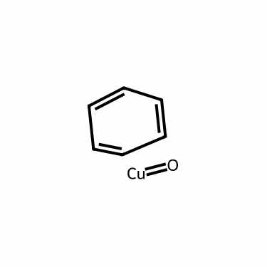 [O]=[Cu].c1ccccc1